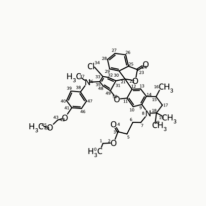 CCOC(=O)CCCN1c2cc3c(cc2C(C)CC1(C)C)C1(OC(=O)c2ccccc21)c1cc(Cl)c(N(C)c2ccc(OCOC)cc2)cc1O3